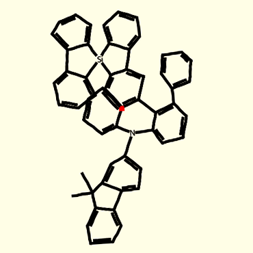 CC1(C)c2ccccc2-c2ccc(N(c3ccccc3)c3cccc(-c4ccccc4)c3-c3ccc4c(c3)-c3ccccc3[Si]43c4ccccc4-c4ccccc43)cc21